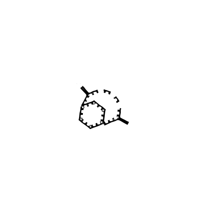 O=c1oooc(=O)c2ccc1cc2